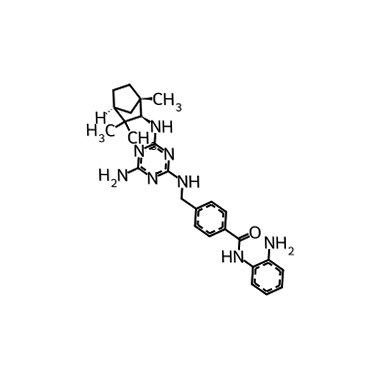 CC1(C)[C@H]2CC[C@@](C)(C2)[C@H]1Nc1nc(N)nc(NCc2ccc(C(=O)Nc3ccccc3N)cc2)n1